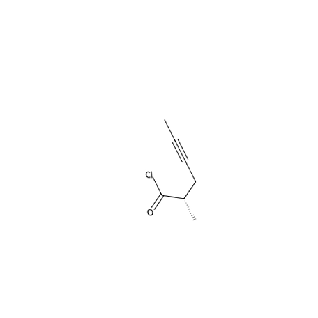 CC#CC[C@H](C)C(=O)Cl